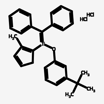 CC1=[C]([Ti]([O]c2cccc(C(C)(C)C)c2)=[C](c2ccccc2)c2ccccc2)CC=C1.Cl.Cl